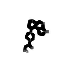 O=C(CC(F)(F)F)N1CCN(c2ccnc3cnc4[nH]ccc4c23)CC1